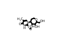 CC1=CN(C2CCOC(CO)C(O)C2O)C(=C=O)NC1=O